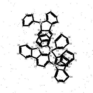 c1ccc(-n2c3ccccc3c3ccc(-n4c5ccccc5c5ccc(-n6c7ccccc7c7ccccc76)c([Si](c6ccccc6)(c6ccccc6)c6ccccc6)c54)cc32)cc1